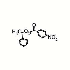 CC(OOC(=O)c1ccc([N+](=O)[O-])cc1)c1ccccc1